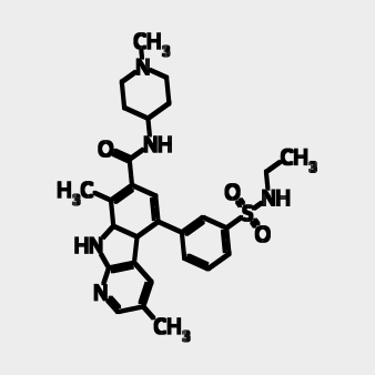 CCNS(=O)(=O)c1cccc(C2=CC(C(=O)NC3CCN(C)CC3)=C(C)C3Nc4ncc(C)cc4C23)c1